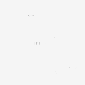 COc1c(CNC(=O)c2ccnc(NC(C)=O)c2)cccc1C(F)(F)F